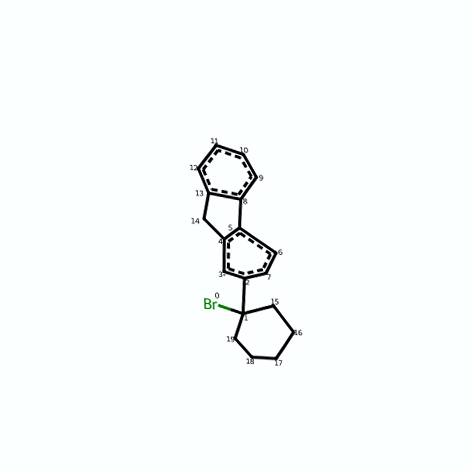 BrC1(c2[c]c3c(cc2)-c2ccccc2C3)CCCCC1